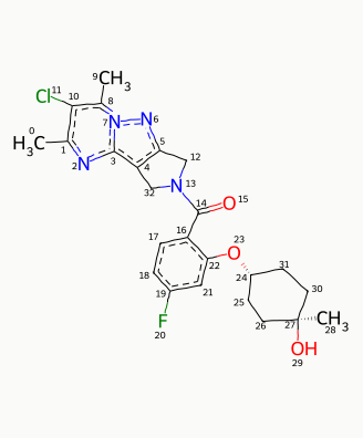 Cc1nc2c3c(nn2c(C)c1Cl)CN(C(=O)c1ccc(F)cc1O[C@H]1CC[C@](C)(O)CC1)C3